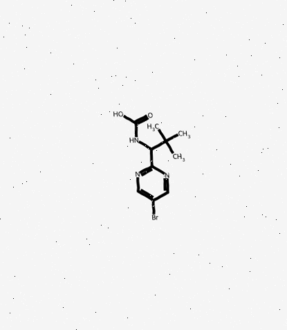 CC(C)(C)C(NC(=O)O)c1ncc(Br)cn1